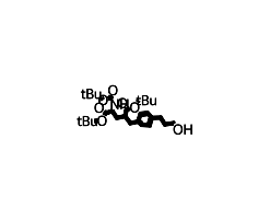 CC(C)(C)OC(=O)NC(CC(Cc1ccc(CCCO)cc1)C(=O)OC(C)(C)C)C(=O)OC(C)(C)C